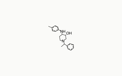 Cc1ccc(NC2CCN(C(C)c3ccccc3)CC2O)cc1